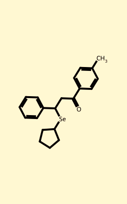 Cc1ccc(C(=O)CC([Se]C2CCCC2)c2ccccc2)cc1